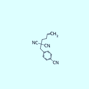 C=CCCC(C#N)(C#N)Cc1ccc(C#N)cc1